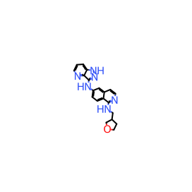 c1cnc2c(Nc3ccc4c(NCC5CCOC5)nccc4c3)n[nH]c2c1